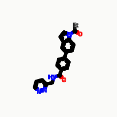 CCC(=O)n1ccc2cc(-c3ccc(C(=O)NCc4cccnn4)cc3)ccc21